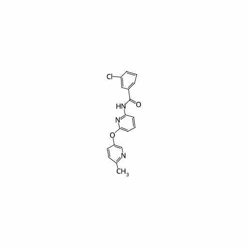 Cc1ccc(Oc2cccc(NC(=O)c3cccc(Cl)c3)n2)cn1